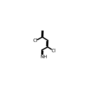 C=C(Cl)/C=C(/Cl)C=N